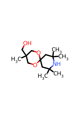 CC1(CO)COC2(CC(C)(C)NC(C)(C)C2)OC1